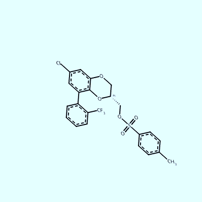 Cc1ccc(S(=O)(=O)OC[C@H]2COc3cc(Cl)cc(-c4ccccc4C(F)(F)F)c3O2)cc1